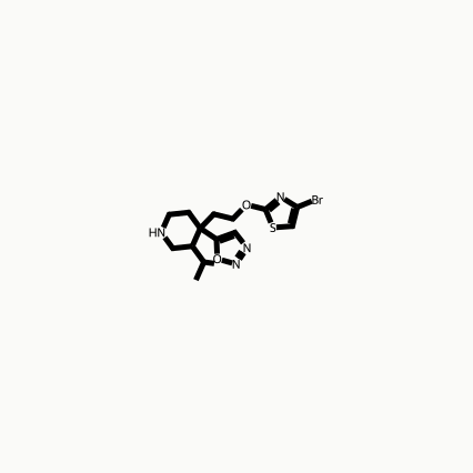 CC(C)C1CNCCC1(CCOc1nc(Br)cs1)c1cnno1